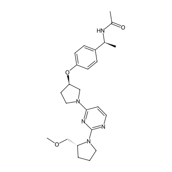 COC[C@H]1CCCN1c1nccc(N2CC[C@@H](Oc3ccc([C@H](C)NC(C)=O)cc3)C2)n1